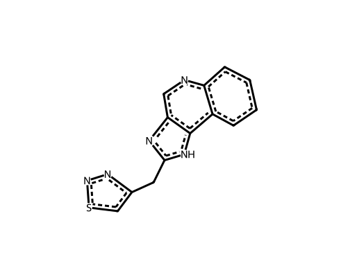 c1ccc2c(c1)ncc1nc(Cc3csnn3)[nH]c12